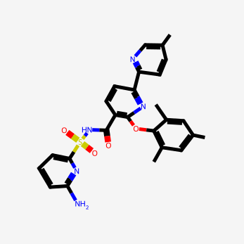 Cc1ccc(-c2ccc(C(=O)NS(=O)(=O)c3cccc(N)n3)c(Oc3c(C)cc(C)cc3C)n2)nc1